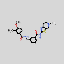 COc1ccc(C(=O)NCc2cccc(C(=O)Nc3nc4c(s3)CN(C)CC4)c2)cc1C